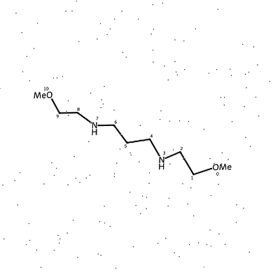 COCCNCCCNCCOC